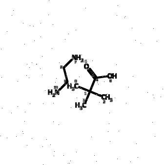 CC(C)(C)C(=O)O.NCCN